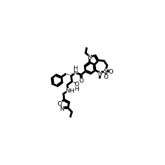 CCc1cc(CNC[C@@H](O)[C@H](Cc2ccccc2)NC(=O)c2cc3c4c(cn(CC)c4c2)CCS(=O)(=O)N3C)on1